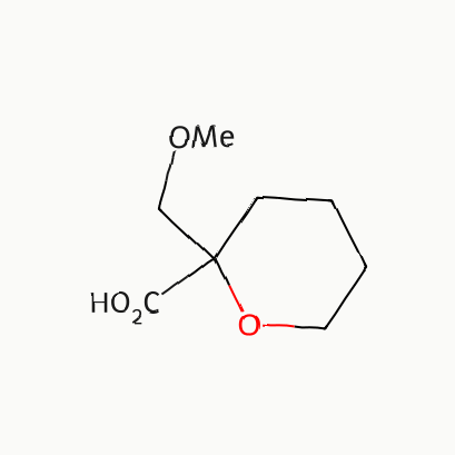 COCC1(C(=O)O)CCCCO1